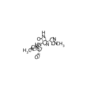 CN(C)Cc1nc(Nc2cnc(-c3ccnc4c3ccn4C)c3c2C(=O)NC3)ccc1[C@@H]1CCOC1